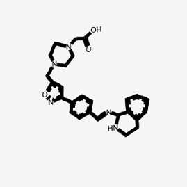 O=C(O)CN1CCN(Cc2cc(-c3ccc(C=NC4NCCc5ccccc54)cc3)no2)CC1